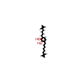 CC1(CCCCCCc2ccc(CCCCC3(C)CC3)c(O)c2O)CC1